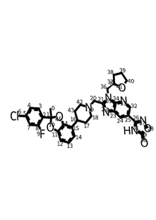 CC1(c2ccc(Cl)cc2F)Oc2cccc(C3CCN(Cc4nc5cc(-c6noc(=O)[nH]6)cnc5n4C[C@H]4CCCO4)CC3)c2O1